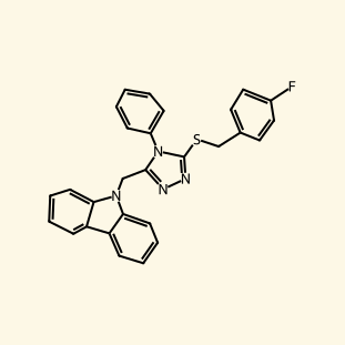 Fc1ccc(CSc2nnc(Cn3c4ccccc4c4ccccc43)n2-c2ccccc2)cc1